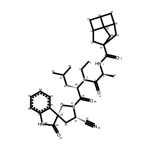 CCN(C(=O)[C@H](C)NC(=O)C12CC3CC4CC(C1)C43C2)[C@@H](CC(C)C)C(=O)N1C[C@]2(C[C@H]1C#N)C(=O)Nc1ccccc12